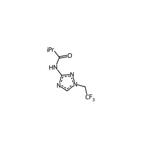 CC(C)C(=O)Nc1ncn(CC(F)(F)F)n1